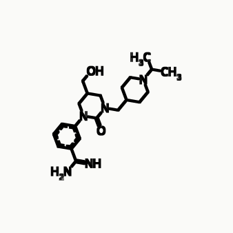 CC(C)N1CCC(CN2CC(CO)CN(c3cccc(C(=N)N)c3)C2=O)CC1